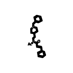 CC(=O)N(CCC1CCN(Cc2ccccc2)CC1)C(=O)C=Cc1ccccc1